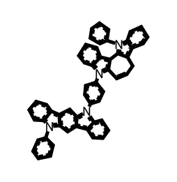 C1=Cc2c(c3ccccc3n2-c2ccc(-n3c4ccccc4c4cc5c(cc43)c3ccccc3n5-c3ccccc3)cc2)-c2c(c3ccccc3n2-c2ccccc2)C1